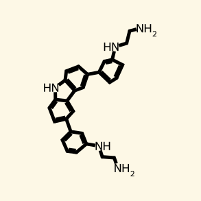 NCCNc1cccc(-c2ccc3[nH]c4ccc(-c5cccc(NCCN)c5)cc4c3c2)c1